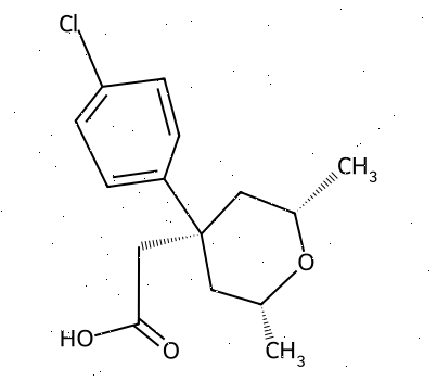 C[C@@H]1C[C@@](CC(=O)O)(c2ccc(Cl)cc2)C[C@H](C)O1